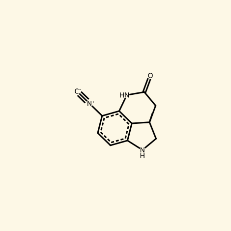 [C-]#[N+]c1ccc2c3c1NC(=O)CC3(C)CN2